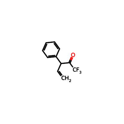 C=CC(C(=O)C(F)(F)F)c1ccccc1